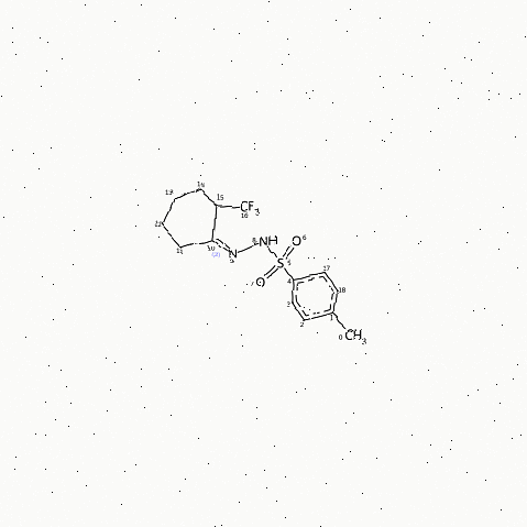 Cc1ccc(S(=O)(=O)N/N=C2/CCCCC2C(F)(F)F)cc1